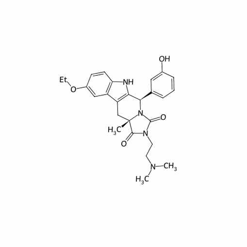 CCOc1ccc2[nH]c3c(c2c1)C[C@@]1(C)C(=O)N(CCN(C)C)C(=O)N1[C@@H]3c1cccc(O)c1